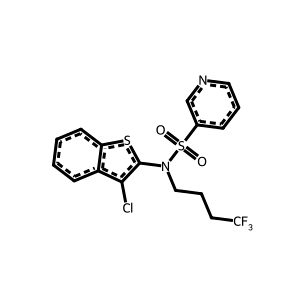 O=S(=O)(c1cccnc1)N(CCCC(F)(F)F)c1sc2ccccc2c1Cl